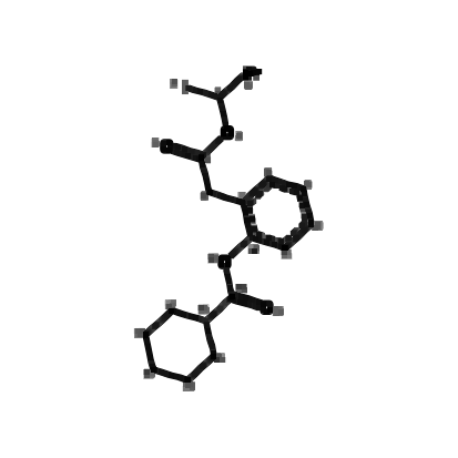 CC(C)C(I)OC(=O)Cc1ccccc1OC(=O)C1CCCCC1